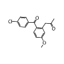 COc1ccc(C(=O)c2ccc(Cl)cc2)c(CC(C)=O)c1